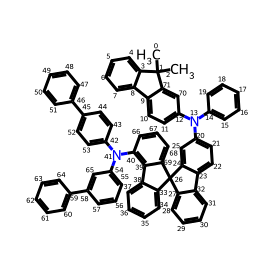 CC1(C)c2ccccc2-c2ccc(N(c3ccccc3)c3ccc4c(c3)C3(c5ccccc5-4)c4ccccc4-c4c(N(c5ccc(-c6ccccc6)cc5)c5cccc(-c6ccccc6)c5)cccc43)cc21